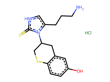 Cl.NCCCc1c[nH]c(=S)n1C1CSc2ccc(O)cc2C1